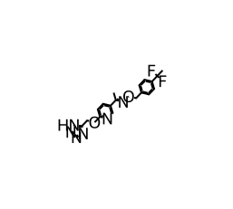 C/C(=N\OCc1ccc(C(C)(F)F)cc1)c1ccc(OCc2nnn[nH]2)nc1